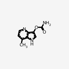 Cc1ccnc2c(OC(N)=O)c[nH]c12